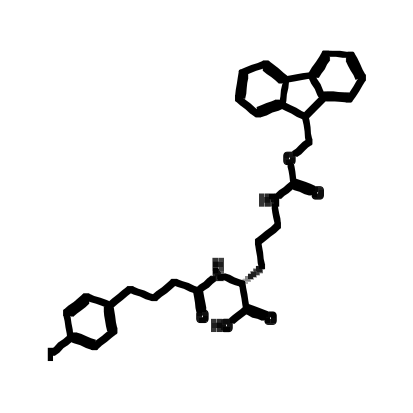 O=C(CCCc1ccc(I)cc1)N[C@H](CCCNC(=O)OCC1c2ccccc2-c2ccccc21)C(=O)O